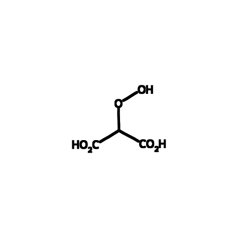 O=C(O)C(OO)C(=O)O